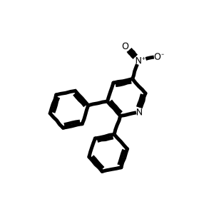 O=[N+]([O-])c1cnc(-c2ccccc2)c(-c2ccccc2)c1